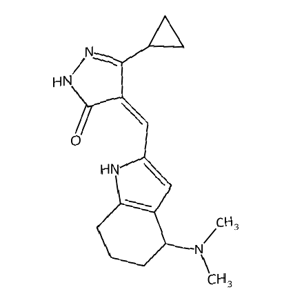 CN(C)C1CCCc2[nH]c(/C=C3\C(=O)NN=C3C3CC3)cc21